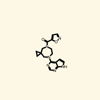 O=C(c1ccno1)N1CCN(c2ncnc3[nH]ccc23)CC2(CC2)C1